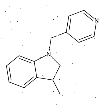 CC1CN(Cc2ccncc2)c2ccccc21